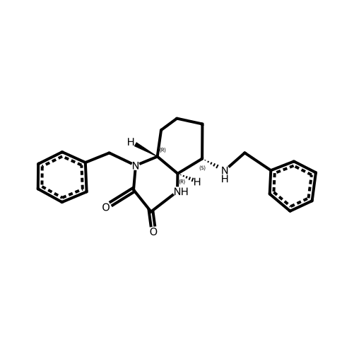 O=C1N[C@@H]2[C@@H](NCc3ccccc3)CCC[C@H]2N(Cc2ccccc2)C1=O